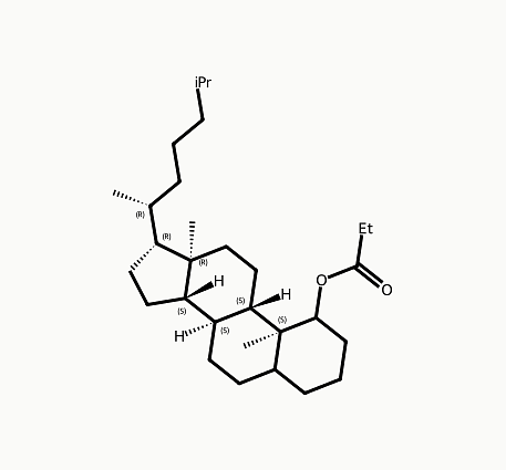 CCC(=O)OC1CCCC2CC[C@@H]3[C@H](CC[C@]4(C)[C@@H]([C@H](C)CCCC(C)C)CC[C@@H]34)[C@]21C